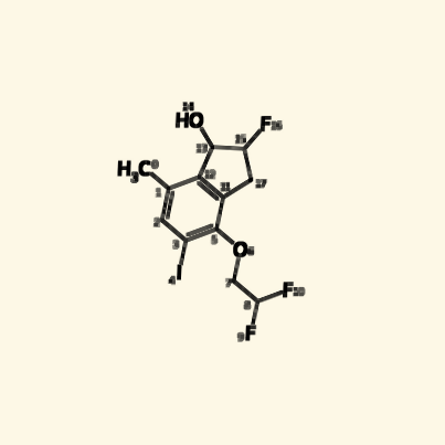 Cc1cc(I)c(OCC(F)F)c2c1C(O)C(F)C2